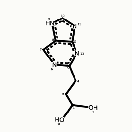 OC(O)CCc1ncc2[nH]cnc2n1